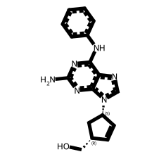 Nc1nc(Nc2ccccc2)c2ncn([C@@H]3C=C[C@H](CO)C3)c2n1